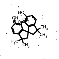 Cc1c(O)ccc2c1C1(CC2(C)C)CC(C)(C)c2ccc(O)c(C)c21